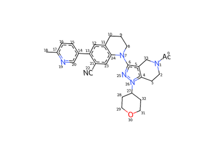 CC(=O)N1CCc2c(c(N3CCCc4cc(-c5ccc(C)nc5)c(C#N)cc43)nn2C2CCOCC2)C1